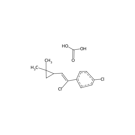 CC1(C)CC1C=C(Cl)c1ccc(Cl)cc1.O=C(O)O